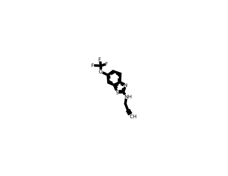 C#CCNc1nc2ccc(OC(F)(F)F)cc2s1